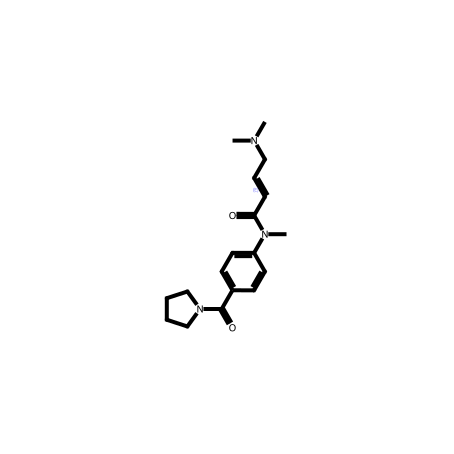 CN(C)C/C=C/C(=O)N(C)c1ccc(C(=O)N2CCCC2)cc1